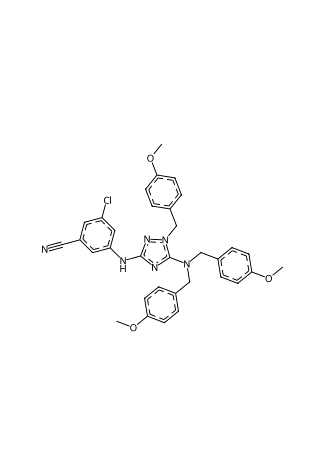 COc1ccc(CN(Cc2ccc(OC)cc2)c2nc(Nc3cc(Cl)cc(C#N)c3)nn2Cc2ccc(OC)cc2)cc1